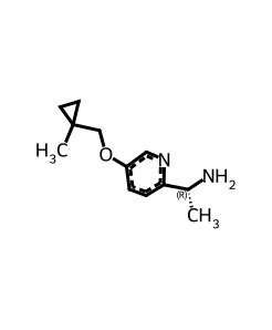 C[C@@H](N)c1ccc(OCC2(C)CC2)cn1